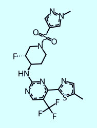 Cc1cnc(-c2nc(N[C@@H]3CCN(S(=O)(=O)c4cnn(C)c4)C[C@H]3F)ncc2C(F)(F)F)s1